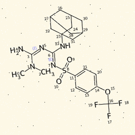 CN(C)/C(N)=N\C(=N\S(=O)(=O)c1ccc(OC(F)(F)F)cc1)NC12CC3CC(CC(C3)C1)C2